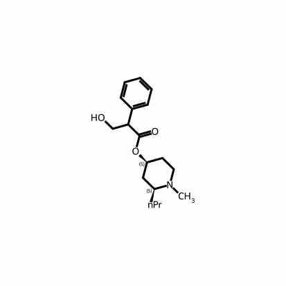 CCC[C@H]1C[C@@H](OC(=O)C(CO)c2ccccc2)CCN1C